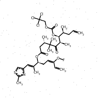 C=CC[C@H](C)[C@H](OC(=O)OCC(Cl)(Cl)Cl)[C@@H](C)C(=O)C(C)(C)[C@@H](C)CC(=O)O[C@@H](C/C=C(\C=C)OF)/C(C)=C/c1csc(C)n1